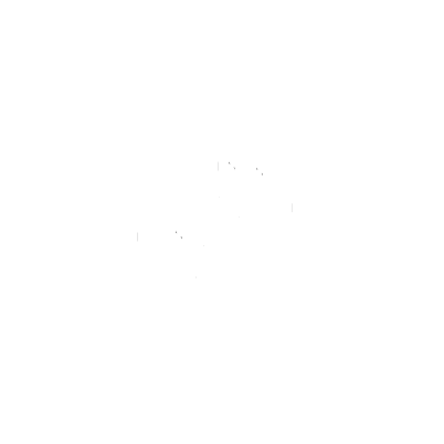 Cc1n[nH]c2c1CC(=O)N(C)C2